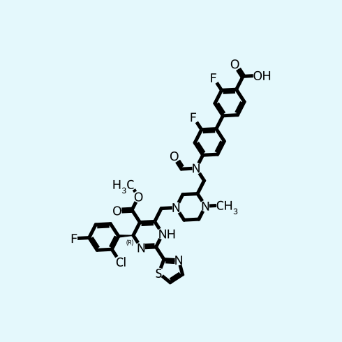 COC(=O)C1=C(CN2CCN(C)C(CN(C=O)c3ccc(-c4ccc(C(=O)O)c(F)c4)c(F)c3)C2)NC(c2nccs2)=N[C@H]1c1ccc(F)cc1Cl